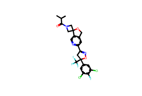 CC(C)C(=O)N1CC2(C1)OCc1cc(C3=NOC(c4cc(Cl)c(F)c(Cl)c4)(C(F)(F)F)C3)ncc12